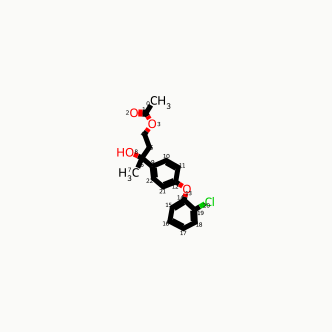 CC(=O)OCCC(C)(O)c1ccc(Oc2ccccc2Cl)cc1